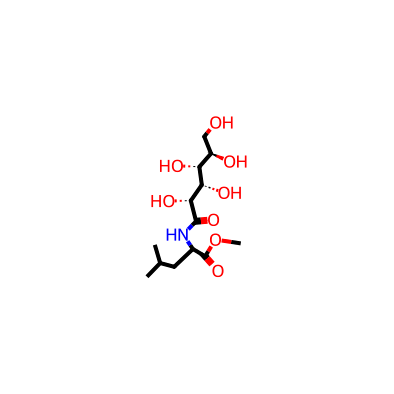 COC(=O)C(CC(C)C)NC(=O)[C@H](O)[C@@H](O)[C@H](O)[C@H](O)CO